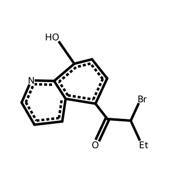 CCC(Br)C(=O)c1ccc(O)c2ncccc12